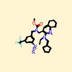 CCN(CC1CCCC1)c1nc2c(cc1CN(Cc1cc(N=[N+]=[N-])cc(C(F)(F)F)c1)C(=O)OC)CCCC2